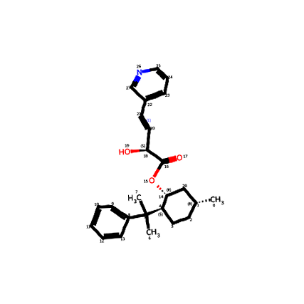 C[C@@H]1CC[C@@H](C(C)(C)c2ccccc2)[C@H](OC(=O)[C@@H](O)/C=C/c2cccnc2)C1